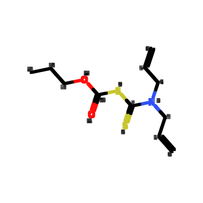 C=CCN(CC=C)C(=S)SC(=O)OCCC